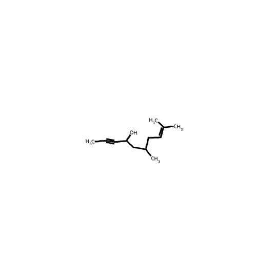 CC#CC(O)CC(C)CC=C(C)C